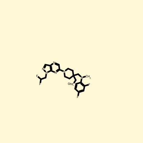 CN(CC1(CC=O)CCN(c2cnc3cnn(CC(F)F)c3n2)CC1)c1ccc(F)cc1F